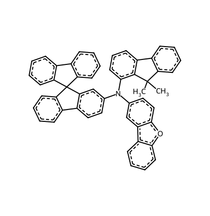 CC1(C)c2ccccc2-c2cccc(N(c3ccc4c(c3)C3(c5ccccc5-c5ccccc53)c3ccccc3-4)c3ccc4oc5ccccc5c4c3)c21